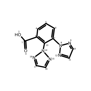 O=C(O)c1cccc(-n2nccn2)c1-n1nccn1